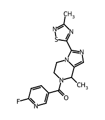 Cc1nsc(-c2ncc3n2CCN(C(=O)c2ccc(F)nc2)C3C)n1